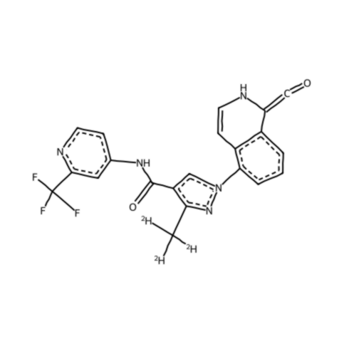 [2H]C([2H])([2H])c1nn(-c2cccc3c2C=CNC3=C=O)cc1C(=O)Nc1ccnc(C(F)(F)F)c1